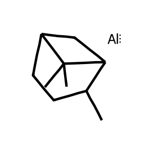 CC1CCC2CC1C2(C)C.[Al]